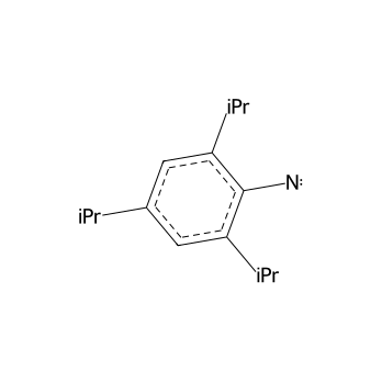 CC(C)c1cc(C(C)C)c([N])c(C(C)C)c1